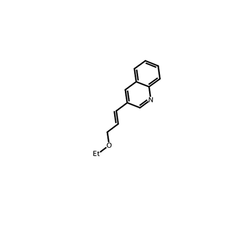 CCOC/C=C/c1cnc2ccccc2c1